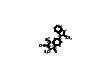 Cc1nc2cnccc2n1-c1ccc(C(=O)N(C)[C@H](C=O)CC(C)C)cc1